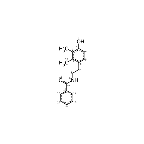 Cc1c(O)ccc(CCNC(=O)c2ccccc2)c1C